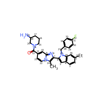 CCc1ccc2cc(-c3nc4cc(C(=O)N5CCCC(N)C5)ccn4c3C)n(Cc3ccc(F)cc3)c2c1